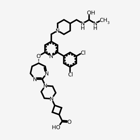 CNC(O)NCC1CCN(Cc2cc(O[C@@H]3C=NC(N4CCN(C5CC(C(=O)O)C5)CC4)=NCC3)nc(-c3cc(Cl)cc(Cl)c3)c2)CC1